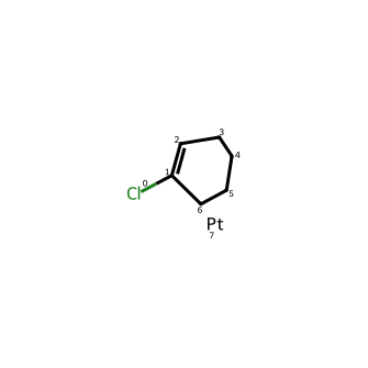 ClC1=CCCCC1.[Pt]